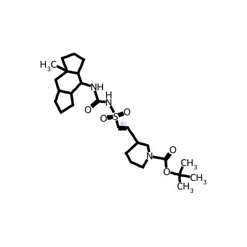 CC(C)(C)OC(=O)N1CCCC(/C=C/S(=O)(=O)NC(=O)NC2C3CCCC3CC3(C)CCCC23)C1